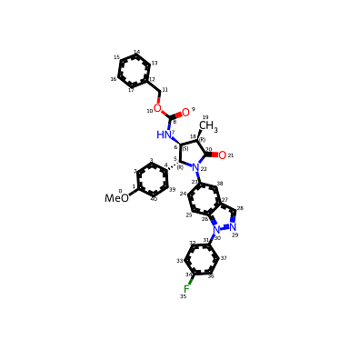 COc1ccc([C@@H]2[C@@H](NC(=O)OCc3ccccc3)[C@@H](C)C(=O)N2c2ccc3c(cnn3-c3ccc(F)cc3)c2)cc1